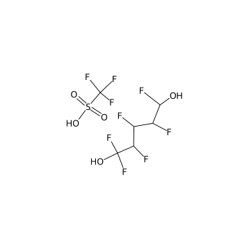 O=S(=O)(O)C(F)(F)F.OC(F)C(F)C(F)C(F)C(O)(F)F